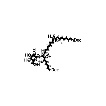 CCCCCCCCCCCCCCCCC[Si](C)(C)CCCCCCCC(=O)N[C@@H](COC1OC(CO)C(O)C(O)C1O)[C@H](O)[C@H](O)CCCCCCCCCCCCCC